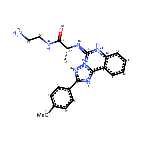 COc1ccc(-c2nc3c4ccccc4[nH]/c(=N/[C@H](C)C(=O)NCCN)n3n2)cc1